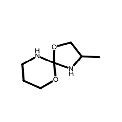 CC1COC2(NCCCO2)N1